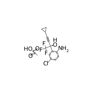 CS(=O)(=O)O.Nc1ccc(Cl)cc1[C@@](O)(C#CC1CC1)C(F)(F)F